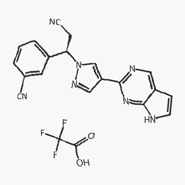 N#CC[C@H](c1cccc(C#N)c1)n1cc(-c2ncc3cc[nH]c3n2)cn1.O=C(O)C(F)(F)F